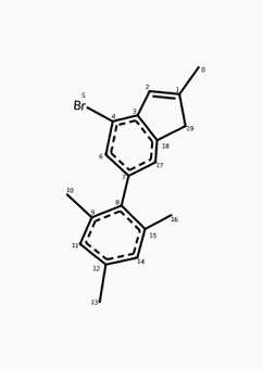 CC1=Cc2c(Br)cc(-c3c(C)cc(C)cc3C)cc2C1